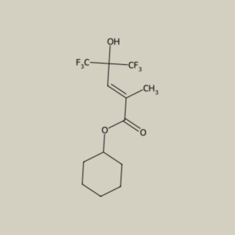 CC(=CC(O)(C(F)(F)F)C(F)(F)F)C(=O)OC1CCCCC1